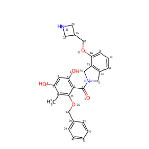 Cc1c(O)cc(O)c(C(=O)N2Cc3cccc(OCC4CNC4)c3C2)c1OCc1ccccc1